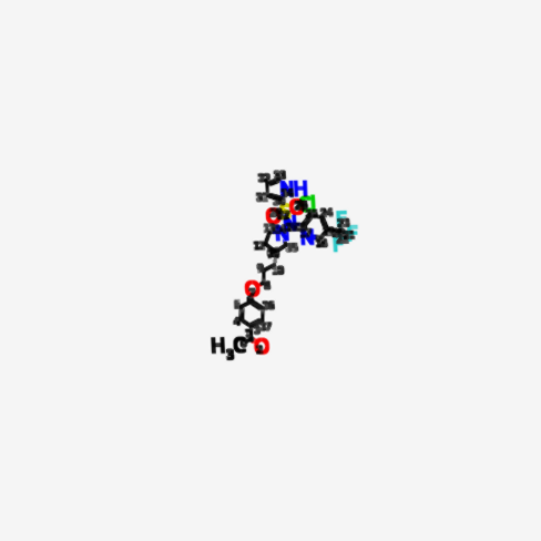 CC(=O)c1ccc(OCCC[C@@H]2CCN(N(c3ncc(C(F)(F)F)cc3Cl)S(=O)(=O)c3ccc[nH]3)C2)cc1